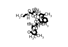 C=CCNC(=O)C(=O)C(CCCC)NC(=O)[C@@H]1CC(C)CN1C(=O)[C@@H](NC(=O)N[C@H](CN1C(=O)CC(C)(C)CC1=O)C(C)(C)C)C1(C)CCCCC1